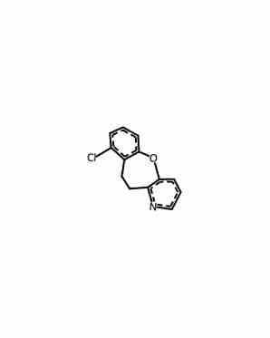 Clc1cccc2c1CCc1ncccc1O2